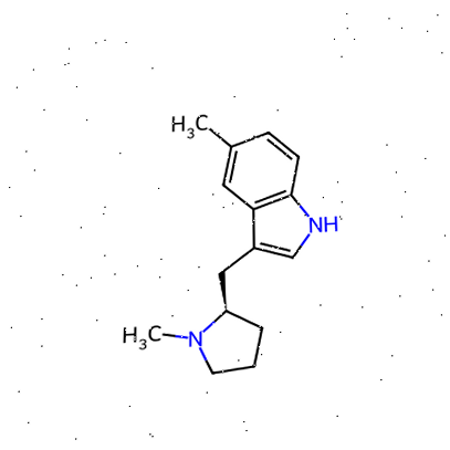 Cc1ccc2[nH]cc(C[C@H]3CCCN3C)c2c1